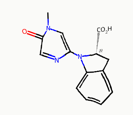 Cn1cc(N2c3ccccc3C[C@H]2C(=O)O)ncc1=O